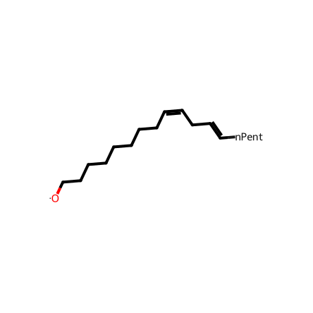 CCCCC/C=C/C/C=C\CCCCCCCC[O]